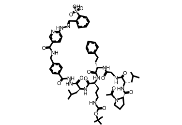 CC(=O)N1CCC[C@H]1C(=O)N[C@@H](CC(C)C)C(=O)NCC(=O)N[C@@H](CCc1ccccc1)C(=O)N[C@@H](CCCNC(=O)OC(C)(C)C)C(=O)N[C@@H](CC(C)C)C(=O)NNC(=O)c1ccc(CNC(=O)c2ccc(NN=Cc3ccccc3S(=O)(=O)O)nc2)cc1